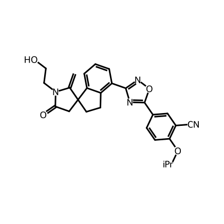 C=C1N(CCO)C(=O)CC12CCc1c(-c3noc(-c4ccc(OC(C)C)c(C#N)c4)n3)cccc12